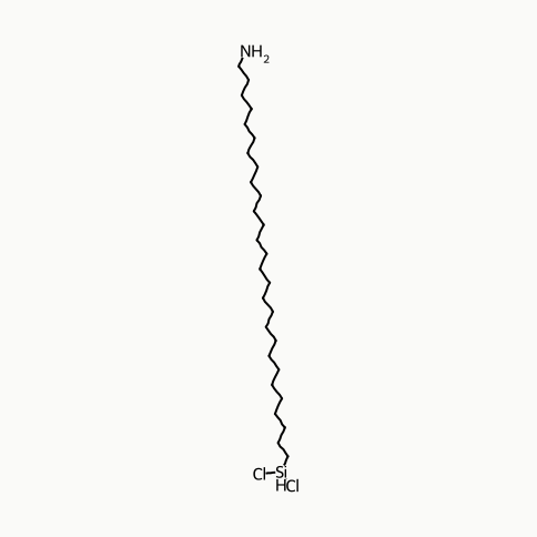 NCCCCCCCCCCCCCCCCCCCCCCCCCCCC[SiH](Cl)Cl